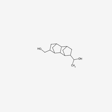 CC(O)C1CC2CC1C1C3CC(CC3CO)C21